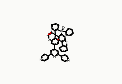 O=P1(c2ccccc2)c2ccccc2C2(c3ccccc3Sc3cc(-c4cc(-c5ccncc5)nc(-c5ccncc5)c4)ccc32)c2cc3c(cc21)oc1ccccc13